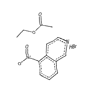 Br.CCOC(C)=O.O=[N+]([O-])c1cccc2cnccc12